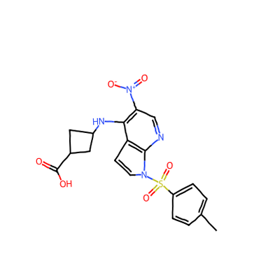 Cc1ccc(S(=O)(=O)n2ccc3c(NC4CC(C(=O)O)C4)c([N+](=O)[O-])cnc32)cc1